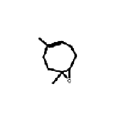 CC1=CCCC2OC2(C)CC1